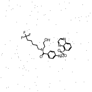 O=C(c1ccc(NS(=O)(=O)c2cccc3nccnc23)cc1)N(CCO)CCCCCC(F)(F)F